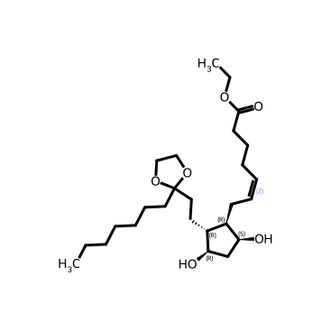 CCCCCCCC1(CC[C@@H]2[C@@H](C/C=C\CCCC(=O)OCC)[C@@H](O)C[C@H]2O)OCCO1